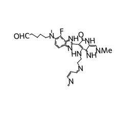 C=N/C=C\C=N/CCNC1=C(c2nc3ccc(N(C)CCCCC=O)c(F)c3[nH]2)C(=O)N/C(=C/NC)C1=N